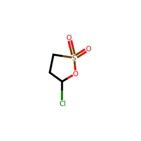 O=S1(=O)CCC(Cl)O1